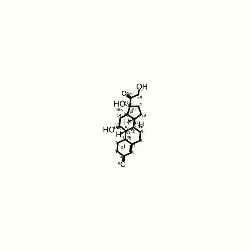 C[C@]12CCC(=O)C=C1CC[C@H]1[C@H]2[C@H](O)C[C@]2(C)[C@@H]1CC[C@]2(O)C(=O)CO